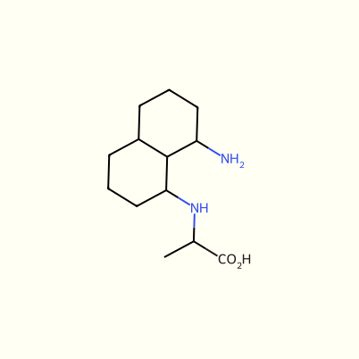 CC(NC1CCCC2CCCC(N)C21)C(=O)O